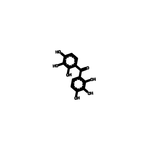 O=C(c1ccc(O)c(O)c1O)c1ccc(O)c(O)c1O